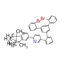 CC1(C)c2ccc(-c3ccc(-c4ccccc4-c4cc(-c5ccccc5Br)cc(-c5ccccc5Br)c4)cn3)cc2C(C)(C)C1(C)C